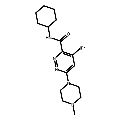 CC(C)c1cc(N2CCN(C)CC2)nnc1C(=O)NC1CCCCC1